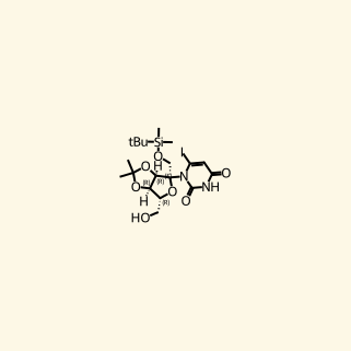 CC1(C)O[C@H]2[C@@H](O1)[C@@](CO[Si](C)(C)C(C)(C)C)(n1c(I)cc(=O)[nH]c1=O)O[C@@H]2CO